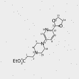 CCOC(=O)CCN1CCN(c2ccc(C3OCCO3)nc2)CC1